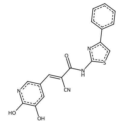 N#C/C(=C\c1cnc(O)c(O)c1)C(=O)Nc1nc(-c2ccccc2)cs1